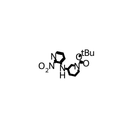 CC(C)(C)OC(=O)N1CCCC(Nc2cccnc2[N+](=O)[O-])C1